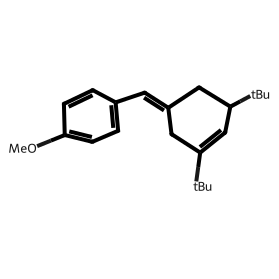 COc1ccc(C=C2CC(C(C)(C)C)=CC(C(C)(C)C)C2)cc1